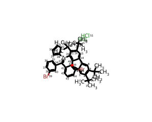 CC(C)(C)c1cc2c(cc1C(C)(C)C)-c1cc(C(C)(C)C)c(C(C)(C)C)[c]([Zr]([C]3=CC=CC3)=[C](c3cccc(Br)c3)c3cccc(Br)c3)c1C2.Cl.Cl